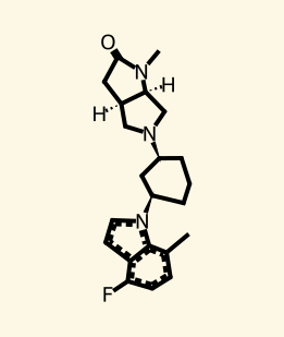 Cc1ccc(F)c2ccn([C@@H]3CCC[C@H](N4C[C@H]5CC(=O)N(C)[C@H]5C4)C3)c12